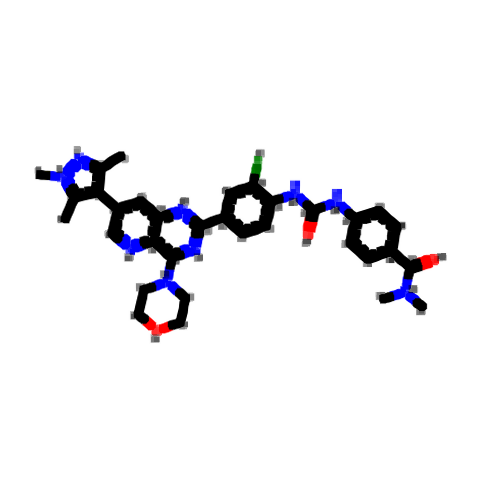 Cc1nn(C)c(C)c1-c1cnc2c(N3CCOCC3)nc(-c3ccc(NC(=O)Nc4ccc(C(=O)N(C)C)cc4)c(F)c3)nc2c1